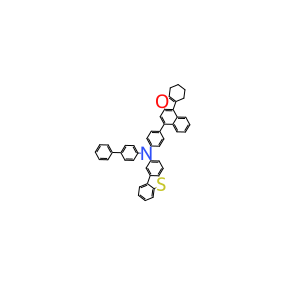 c1ccc(-c2ccc(N(c3ccc(-c4cc5oc6c(c5c5ccccc45)CCCC6)cc3)c3ccc4sc5ccccc5c4c3)cc2)cc1